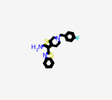 Nc1sc2c(c1-c1nc3ccccc3s1)CCN(Cc1ccc(F)cc1)C2